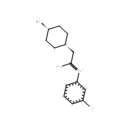 CC(C)[C@H]1CC[C@@H](CC(S)=Nc2cccc(Cl)c2)CC1